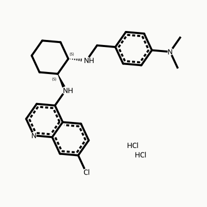 CN(C)c1ccc(CN[C@H]2CCCC[C@@H]2Nc2ccnc3cc(Cl)ccc23)cc1.Cl.Cl